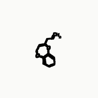 C=CCC1=CCOc2ccccc2O1